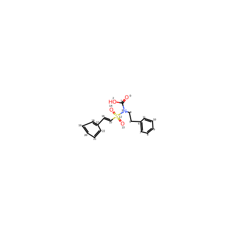 O=C(O)N(CCc1ccccc1)S(=O)(=O)/C=C/c1ccccc1